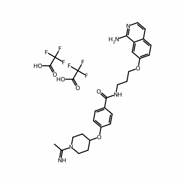 CC(=N)N1CCC(Oc2ccc(C(=O)NCCCOc3ccc4ccnc(N)c4c3)cc2)CC1.O=C(O)C(F)(F)F.O=C(O)C(F)(F)F